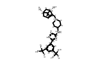 CC1(C)[C@H]2CC=C(CN3CCC(Nc4nc(-c5cc(C(F)(F)F)cc(C(F)(F)F)c5)ns4)CC3)[C@@H]1C2